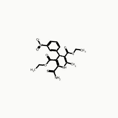 CCOC(=O)C1=C(C)NC(C(N)=S)=C(C(=O)OCC)C1c1cccc([N+](=O)[O-])c1